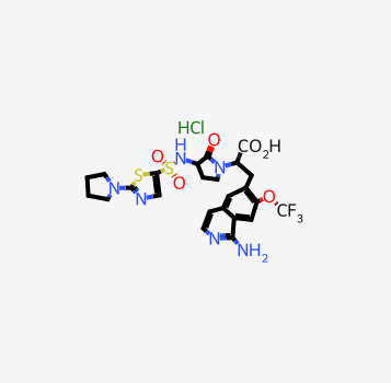 Cl.Nc1nccc2cc(CC(C(=O)O)N3CCC(NS(=O)(=O)c4cnc(N5CCCC5)s4)C3=O)c(OC(F)(F)F)cc12